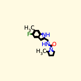 Cc1cc2[nH]c(CNC(=O)N3CCCC3C)cc2cc1F